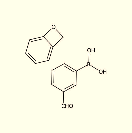 O=Cc1cccc(B(O)O)c1.c1ccc2c(c1)CO2